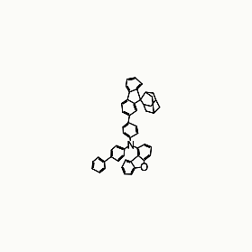 c1ccc(-c2ccc(N(c3ccc(-c4ccc5c(c4)C4(c6ccccc6-5)C5CC6CC(C5)CC4C6)cc3)c3cccc4oc5ccccc5c34)cc2)cc1